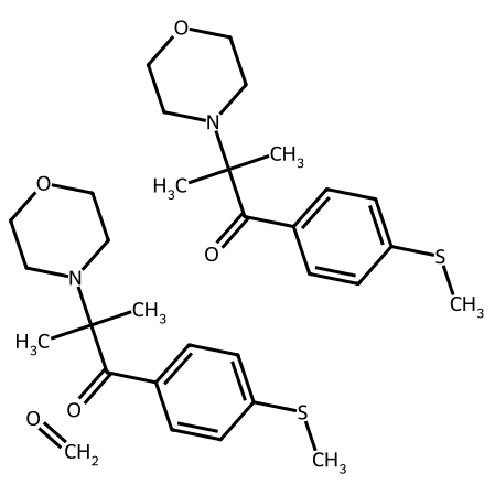 C=O.CSc1ccc(C(=O)C(C)(C)N2CCOCC2)cc1.CSc1ccc(C(=O)C(C)(C)N2CCOCC2)cc1